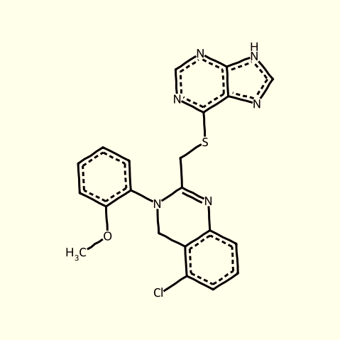 COc1ccccc1N1Cc2c(Cl)cccc2N=C1CSc1ncnc2[nH]cnc12